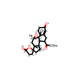 COC(=O)C1CC2=CC(=O)CCC2(C)[C@@]23O[C@@H]2CC2(C)C(CCC24CCC(=O)O4)C13